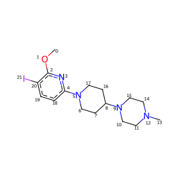 COc1nc(N2CCC(N3CCN(C)CC3)CC2)ccc1I